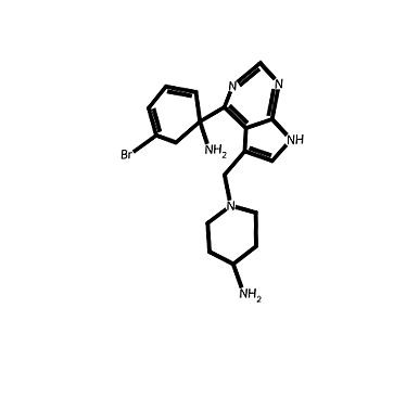 NC1CCN(Cc2c[nH]c3ncnc(C4(N)C=CC=C(Br)C4)c23)CC1